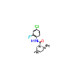 CC(C)[C@@H]1CC[C@@H](C)C[C@H]1C(=O)Nc1ccc(Cl)cc1F